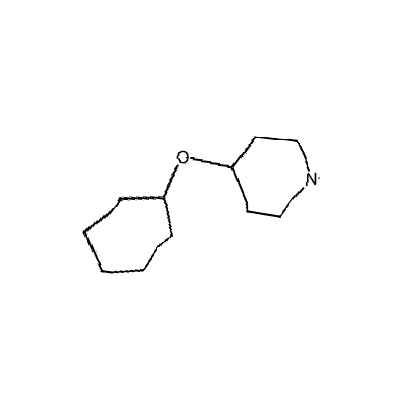 C1CCC(OC2CC[N]CC2)CC1